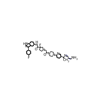 C=C(/N=C\C=C/N)c1ccc(N2CCN(C(=O)CN3CCC(F)(C(=O)Nc4ccc5[nH]nc(-c6ccc(F)cc6)c5c4)C3)CC2)nc1